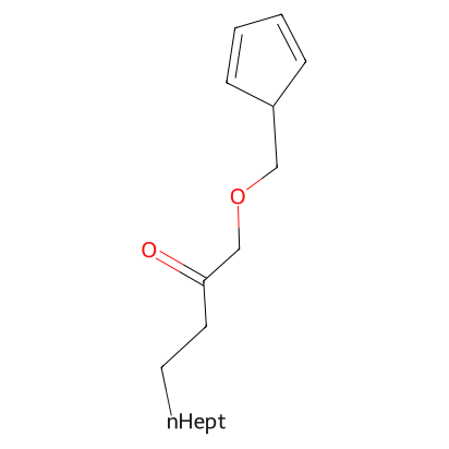 CCCCCCCCCC(=O)COCC1C=CC=C1